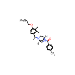 CNCCOc1ccc([C@H](C)N2C[C@@H]3C[C@H]2CN3C(=O)c2ccc(C(F)(F)F)cc2)c(C)c1C